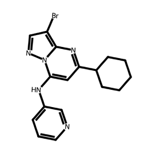 Brc1cnn2c(Nc3cccnc3)cc(C3CCCCC3)nc12